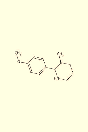 COc1ccc(C2NCCCN2C)cc1